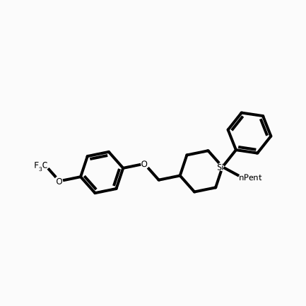 CCCCC[Si]1(c2ccccc2)CCC(COc2ccc(OC(F)(F)F)cc2)CC1